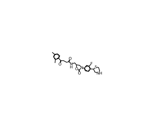 Cc1ccc(C(=O)CCC(=O)NCC2CN(c3ccc(C4CNCCS4)c(F)c3)C(=O)O2)c(C)c1